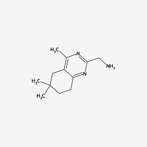 Cc1nc(CN)nc2c1CC(C)(C)CC2